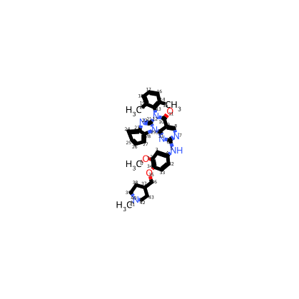 COc1cc(Nc2ncc3c(=O)n(-c4c(C)cccc4C)c4nc5ccccc5n4c3n2)ccc1OCC1CCN(C)CC1